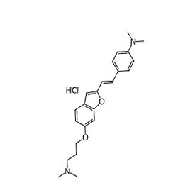 CN(C)CCCOc1ccc2cc(C=Cc3ccc(N(C)C)cc3)oc2c1.Cl